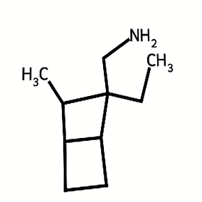 CCC1(CN)C(C)C2CCC21